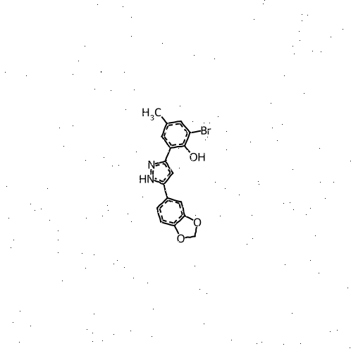 Cc1cc(Br)c(O)c(-c2cc(-c3ccc4c(c3)OCO4)[nH]n2)c1